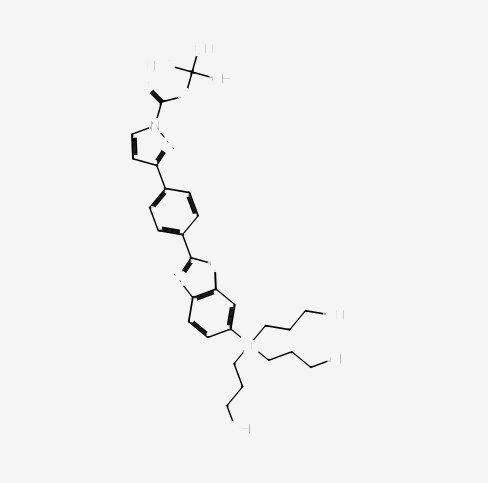 CCC[CH2][Sn]([CH2]CCC)([CH2]CCC)[c]1ccc2nc(-c3ccc(-c4ccn(C(=O)OC(C)(C)C)n4)cc3)oc2c1